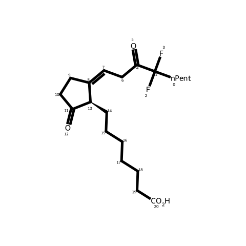 CCCCCC(F)(F)C(=O)C/C=C1/CCC(=O)[C@@H]1CCCCCCC(=O)O